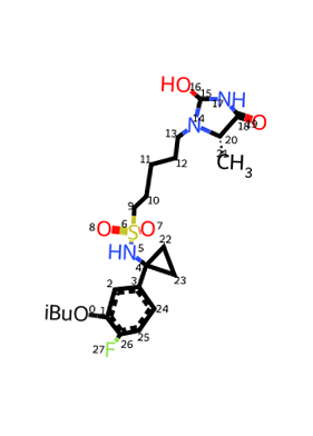 CC(C)COc1cc(C2(NS(=O)(=O)CCCCCN3C(O)NC(=O)[C@@H]3C)CC2)ccc1F